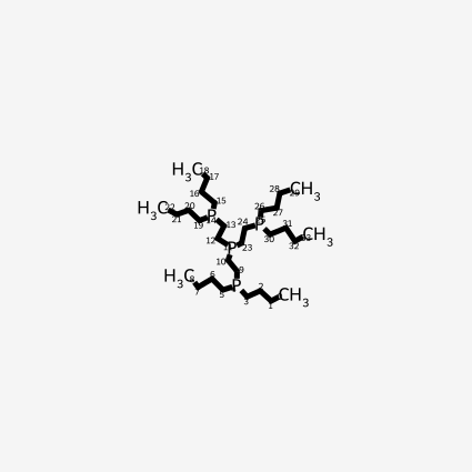 CCCCP(CCCC)CCP(CCP(CCCC)CCCC)CCP(CCCC)CCCC